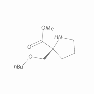 CCCCOC[C@]1(C(=O)OC)CCCN1